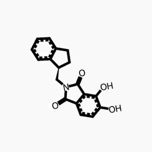 O=C1c2ccc(O)c(O)c2C(=O)N1C[C@@H]1CCc2ccccc21